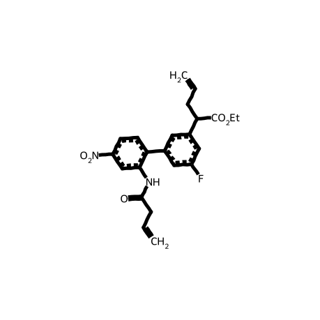 C=CCC(=O)Nc1cc([N+](=O)[O-])ccc1-c1cc(F)cc(C(CC=C)C(=O)OCC)c1